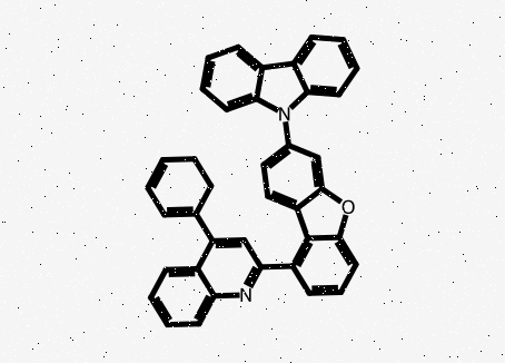 C1=CCCC(c2cc(-c3cccc4oc5cc(-n6c7ccccc7c7ccccc76)ccc5c34)nc3ccccc23)=C1